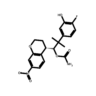 CC(C)(c1ccc(F)c(O)c1)C(OC(N)=O)[C@H]1CCOc2cc([N+](=O)[O-])ccc21